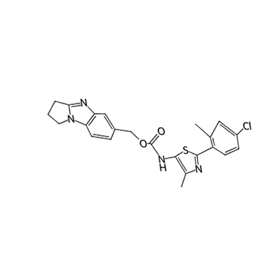 Cc1cc(Cl)ccc1-c1nc(C)c(NC(=O)OCc2ccc3c(c2)nc2n3CCC2)s1